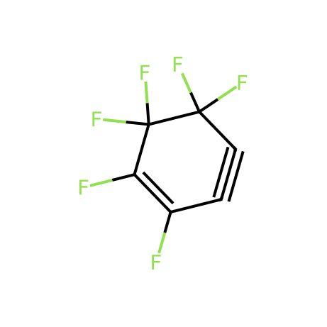 FC1=C(F)C(F)(F)C(F)(F)C#C1